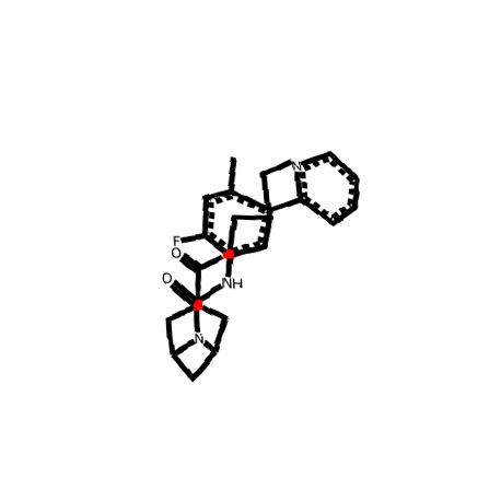 CCCCOC(=O)N1CC2CC(C1)N2C(=O)Nc1cc(-c2ccccn2)c(C)cc1F